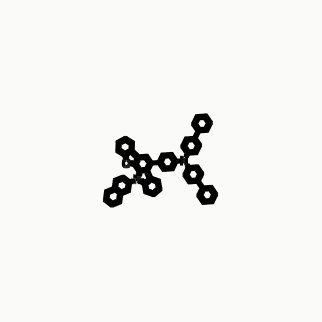 c1ccc(-c2ccc(N(c3ccc(-c4ccccc4)cc3)c3ccc(-c4cc5c6ccccc6oc5c5c4c4ccccc4n5-c4ccc5ccccc5c4)cc3)cc2)cc1